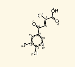 O=C(O)C(Cl)=CC(=O)c1cnc(Cl)c(F)c1